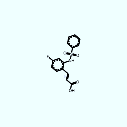 O=C(O)/C=C/c1ccc(F)cc1NS(=O)(=O)c1ccccc1